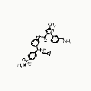 Cc1cc(C(=O)Nc2cccc(C(NCC3CC3)c3ccc(S(N)(=O)=O)cc3)c2)n(-c2cccc(CN)c2)n1